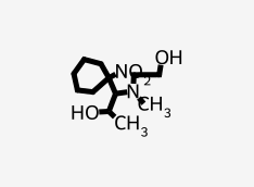 CC(O)C(N(C)CCO)C1([N+](=O)[O-])CCCCC1